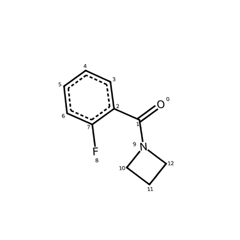 O=C(c1ccccc1F)N1CCC1